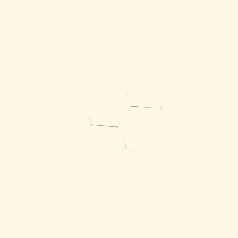 CCC(O)C(C(O)CC)[N+](=O)[O-]